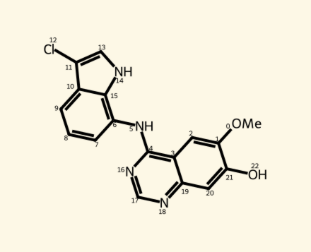 COc1cc2c(Nc3cccc4c(Cl)c[nH]c34)ncnc2cc1O